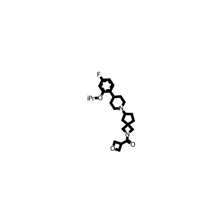 CC(C)Oc1cc(F)ccc1C1CCN(C2CCC3(C2)CN(C(=O)C2COC2)C3)CC1